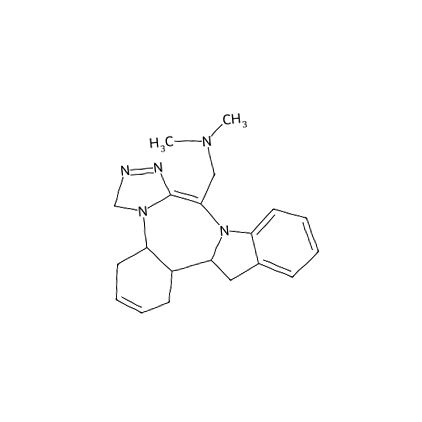 CN(C)CC1=C2N=NCN2C2CC=CCC2C2Cc3ccccc3N12